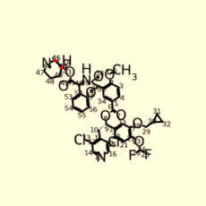 COc1ccc(C(=O)O[C@@H](Cc2c(Cl)cncc2Cl)c2ccc(OC(F)F)c(OCC3CC3)c2)cc1S(=O)(=O)NC(C(=O)O[C@H]1CN2CCC1CC2)c1ccccc1